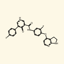 O=C(Nc1ccc(Oc2ccnc3c2CCN3)c(F)c1)c1c[nH]cc(-c2ccc(F)cc2)c1=O